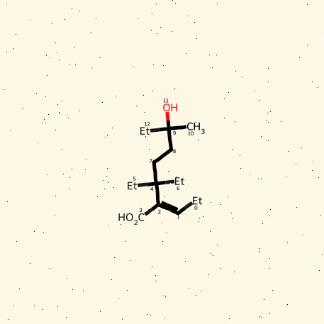 CCC=C(C(=O)O)C(CC)(CC)CCC(C)(O)CC